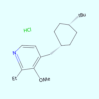 CCc1nccc(C[C@H]2CC[C@@H](C(C)(C)C)CC2)c1OC.Cl